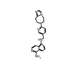 Nc1nccc2c(NCc3ccc(N4CCc5nccn5CC4)nc3)cccc12